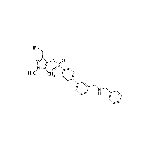 Cc1c(NS(=O)(=O)c2ccc(-c3cccc(CNCc4ccccc4)c3)cc2)c(CC(C)C)nn1C